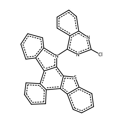 Clc1nc(-n2c3ccccc3c3c4ccccc4c4c5ccccc5sc4c32)c2ccccc2n1